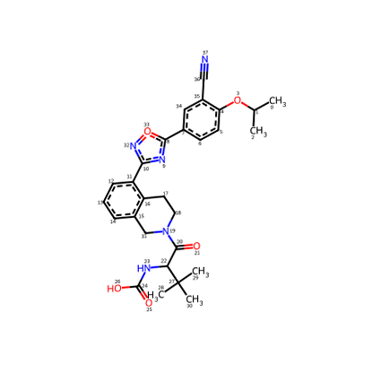 CC(C)Oc1ccc(-c2nc(-c3cccc4c3CCN(C(=O)C(NC(=O)O)C(C)(C)C)C4)no2)cc1C#N